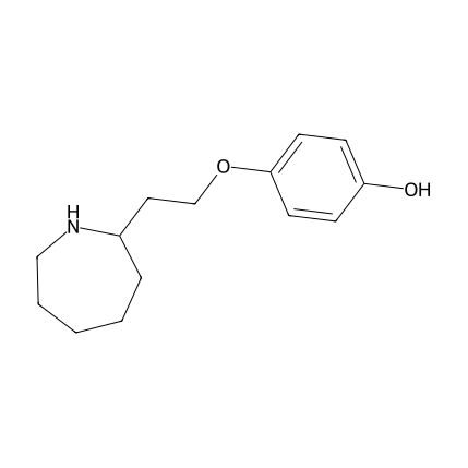 Oc1ccc(OCCC2CCCCCN2)cc1